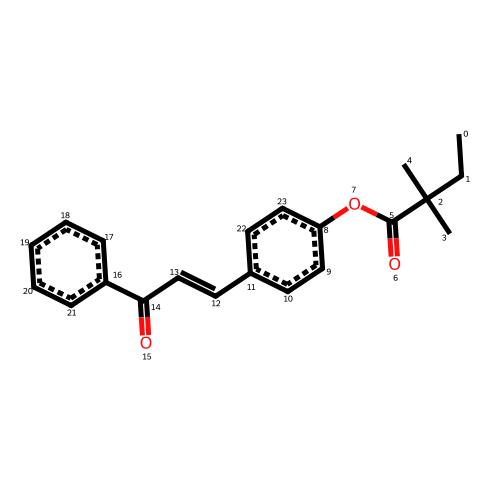 CCC(C)(C)C(=O)Oc1ccc(/C=C/C(=O)c2ccccc2)cc1